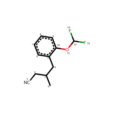 CC(CC#N)Cc1ccccc1OC(F)F